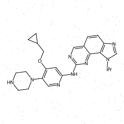 CC(C)n1cnc2ccc3cnc(Nc4cc(OCC5CC5)c(N5CCNCC5)cn4)nc3c21